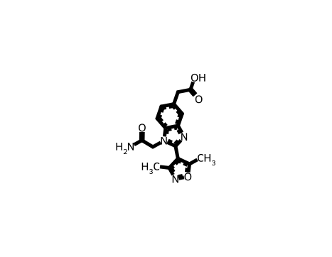 Cc1noc(C)c1-c1nc2cc(CC(=O)O)ccc2n1CC(N)=O